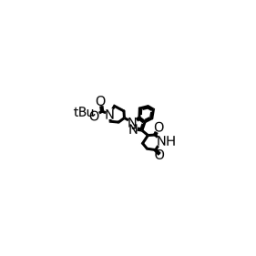 CC(C)(C)OC(=O)N1CCC(n2nc(C3CCC(=O)NC3=O)c3ccccc32)CC1